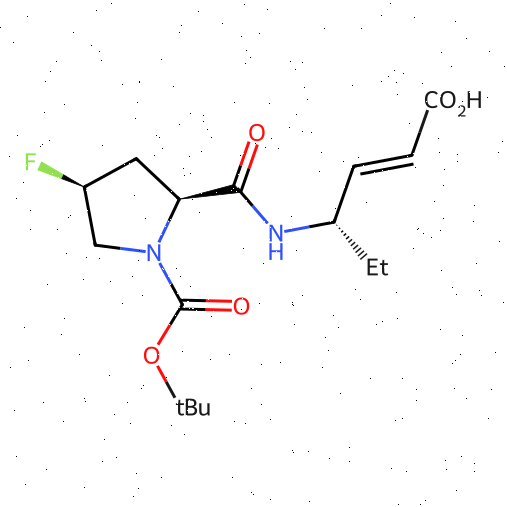 CC[C@@H](C=CC(=O)O)NC(=O)[C@@H]1C[C@H](F)CN1C(=O)OC(C)(C)C